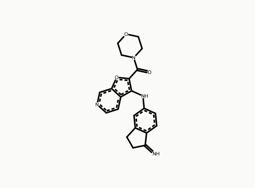 N=C1CCc2cc(Nc3c(C(=O)N4CCOCC4)oc4cnccc34)ccc21